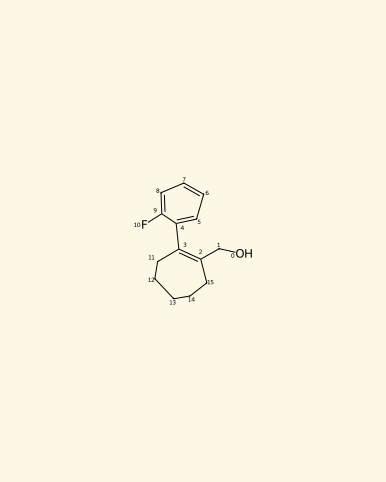 OCC1=C(c2ccccc2F)CCCCC1